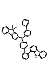 CC1(C)c2ccccc2-c2ccc(N(c3ccc(-c4ccccc4-c4cccc5c4oc4ccccc45)cc3)c3cccc(-c4ccccc4)c3)cc21